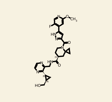 COc1cc(-c2cc(C(=O)N3CC[C@H](C(=O)NCc4nccnc4[C@@H]4C[C@H]4CO)CC34CC4)n[nH]2)c(F)cn1